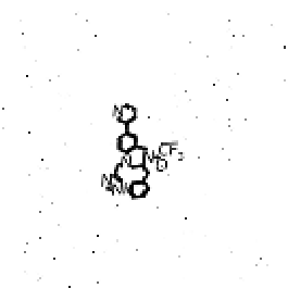 O=C(N1Cc2cc(-c3cccnc3)ccc2N(Cc2c[nH]cn2)CC1Cc1ccccc1)C(F)(F)F